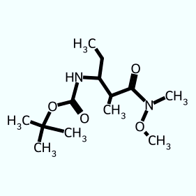 CCC(NC(=O)OC(C)(C)C)C(C)C(=O)N(C)OC